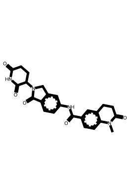 CN1C(=O)CCc2cc(C(=O)Nc3ccc4c(c3)CN(C3CCC(=O)NC3=O)C4=O)ccc21